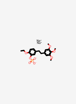 CCOc1ccc(CCc2cc(OC)c(OC)c(OC)c2)cc1OP(=O)([O-])[O-].[Na+].[Na+]